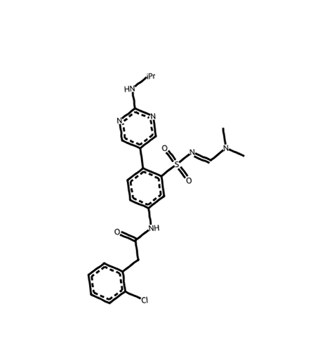 CC(C)Nc1ncc(-c2ccc(NC(=O)Cc3ccccc3Cl)cc2S(=O)(=O)N=CN(C)C)cn1